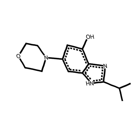 CC(C)c1nc2c(O)cc(N3CCOCC3)cc2[nH]1